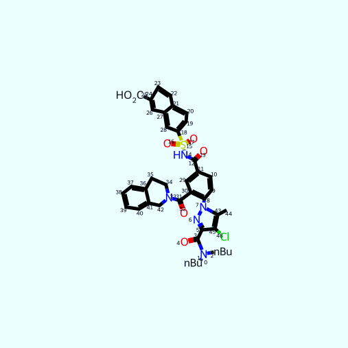 CCCCN(CCCC)C(=O)c1nn(-c2ccc(C(=O)NS(=O)(=O)c3ccc4ccc(C(=O)O)cc4c3)cc2C(=O)N2CCc3ccccc3C2)c(C)c1Cl